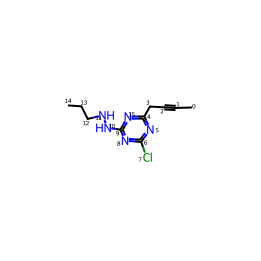 CC#CCc1nc(Cl)nc(NNCCC)n1